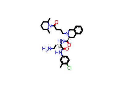 Cc1cc(NC(=O)[C@H](CCN)NC(=O)[C@@H]2Cc3ccccc3CN2CCCC(=O)N2C(C)CCCC2C)ccc1Cl